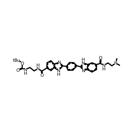 CN(C)CCNC(=O)c1ccc2nc(-c3ccc(-c4nc5ccc(C(=O)NCCNC(=O)OC(C)(C)C)cc5[nH]4)cc3)[nH]c2c1